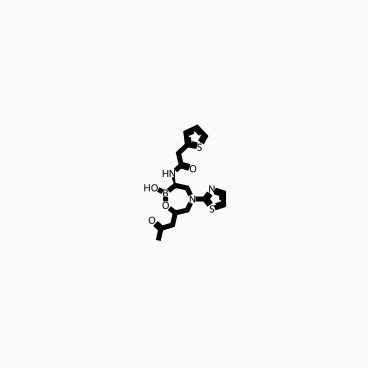 CC(=O)CC1CN(c2nccs2)C[C@H](NC(=O)Cc2cccs2)B(O)O1